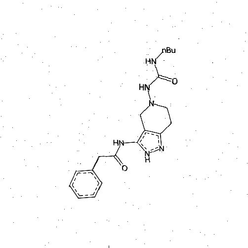 CCCCNC(=O)NN1CCc2n[nH]c(NC(=O)Cc3ccccc3)c2C1